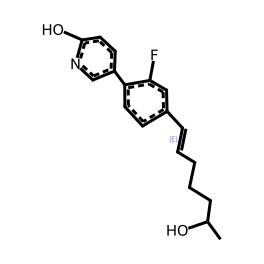 CC(O)CCC/C=C/c1ccc(-c2ccc(O)nc2)c(F)c1